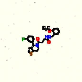 COc1ccccc1CNC(=O)CCC(=O)N1CCc2sccc2C1c1cccc(F)c1